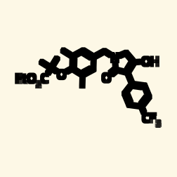 CCOC(=O)C(C)(C)Oc1c(C)cc(CN2CC(O)=C(c3ccc(C(F)(F)F)cc3)C2=O)cc1C